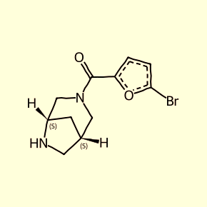 O=C(c1ccc(Br)o1)N1C[C@@H]2CN[C@@H](C2)C1